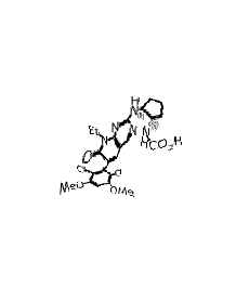 CCn1c(=O)c(-c2c(Cl)c(OC)cc(OC)c2Cl)cc2cnc(N[C@@H]3CCC[C@@H]3NC(=O)O)nc21